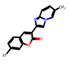 CCc1ccc2cc(-c3cn4cc(C)ccc4n3)c(=O)oc2c1